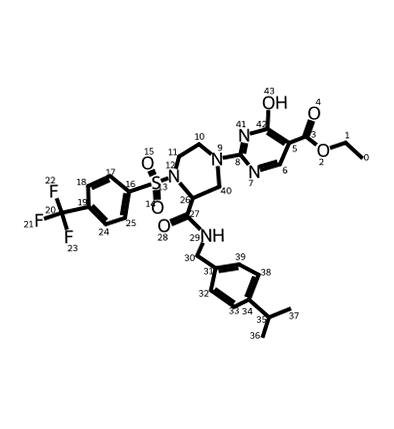 CCOC(=O)c1cnc(N2CCN(S(=O)(=O)c3ccc(C(F)(F)F)cc3)C(C(=O)NCc3ccc(C(C)C)cc3)C2)nc1O